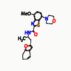 COc1ccc(N2CCOCC2)c2sc(C(=O)NC(C)Cc3cc4c(o3)CCC=C4)nc12